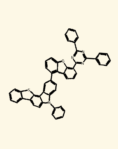 c1ccc(-c2nc(-c3ccccc3)nc(-c3cccc4c3oc3cccc(-c5ccc6c(c5)c5c7sc8ccccc8c7ccc5n6-c5ccccc5)c34)n2)cc1